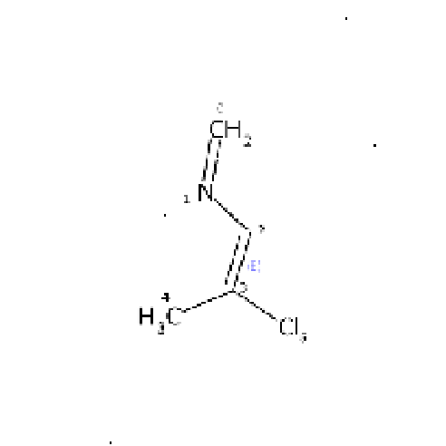 C=N/C=C(\C)Cl